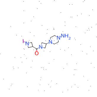 NN1CCN(C2CN(C(=O)C3CN(I)C3)C2)CC1